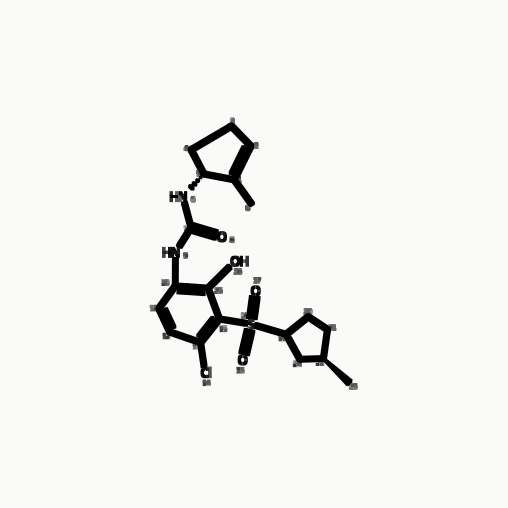 CC1=CCC[C@H]1NC(=O)Nc1ccc(Cl)c(S(=O)(=O)C2CC[C@@H](C)C2)c1O